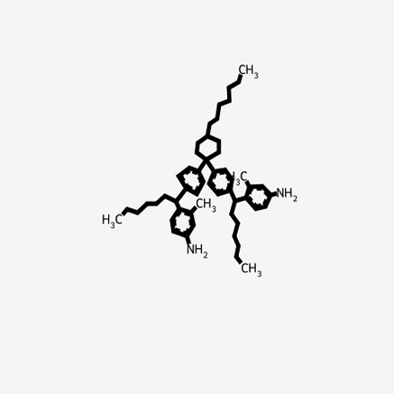 CCCCCCCC1CCC(c2ccc(C(CCCCCC)c3ccc(N)cc3C)cc2)(c2ccc(C(CCCCCC)c3ccc(N)cc3C)cc2)CC1